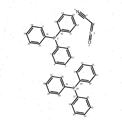 N#CC=C=O.c1ccc(P(c2ccccc2)c2ccccc2)cc1.c1ccc(P(c2ccccc2)c2ccccc2)cc1